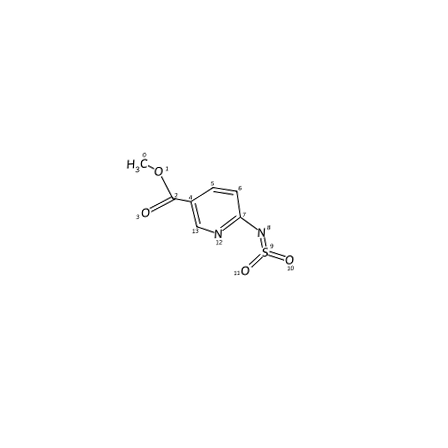 COC(=O)c1ccc(N=S(=O)=O)nc1